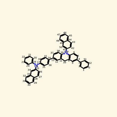 c1ccc(-c2ccc3c(c2)Cc2cc(-c4ccc(N(c5ccccc5)c5ccc6ccccc6c5)cc4)ccc2N3c2ccc3ccccc3c2)cc1